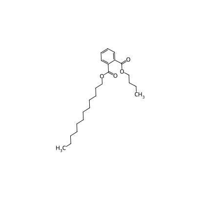 CCCCCCCCCCCCOC(=O)c1ccccc1C(=O)OCCCC